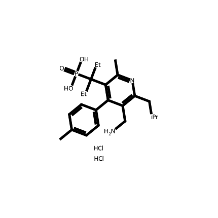 CCC(CC)(c1c(C)nc(CC(C)C)c(CN)c1-c1ccc(C)cc1)P(=O)(O)O.Cl.Cl